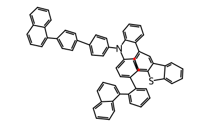 c1ccc(-c2cccc3ccccc23)c(-c2ccc(N(c3ccc(-c4ccc(-c5cccc6ccccc56)cc4)cc3)c3ccccc3-c3ccc4sc5ccccc5c4c3)cc2)c1